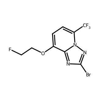 FCCOc1ccc(C(F)(F)F)n2nc(Br)nc12